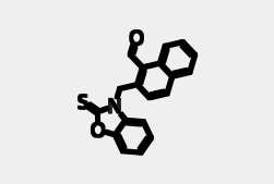 O=Cc1c(Cn2c(=S)oc3ccccc32)ccc2ccccc12